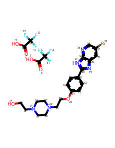 O=C(O)C(F)(F)F.O=C(O)C(F)(F)F.OCCN1CCN(CCOc2ccc(-c3nc4cc(Br)cnc4[nH]3)cc2)CC1